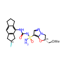 COC[C@H]1Cn2ncc(S(N)(=O)=NC(=O)Nc3c4c(cc5c3C[C@@H](F)C5)CCC4)c2O1